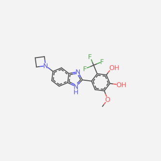 COc1cc(-c2nc3cc(N4CCC4)ccc3[nH]2)c(C(F)(F)F)c(O)c1O